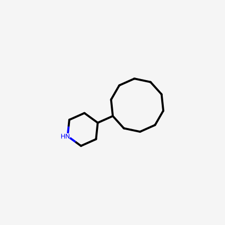 C1CCCCC(C2CCNCC2)CCCC1